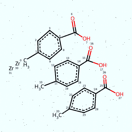 Cc1ccc(C(=O)O)cc1.Cc1ccc(C(=O)O)cc1.Cc1ccc(C(=O)O)cc1.[Zr].[Zr]